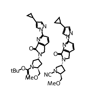 COC[C@@H]1C[C@@H](N2Cc3ccc(-n4cc(C5CC5)cn4)nc3C2=O)CN1C#N.COC[C@@H]1C[C@@H](N2Cc3ccc(-n4cc(C5CC5)cn4)nc3C2=O)CN1C(=O)OC(C)(C)C